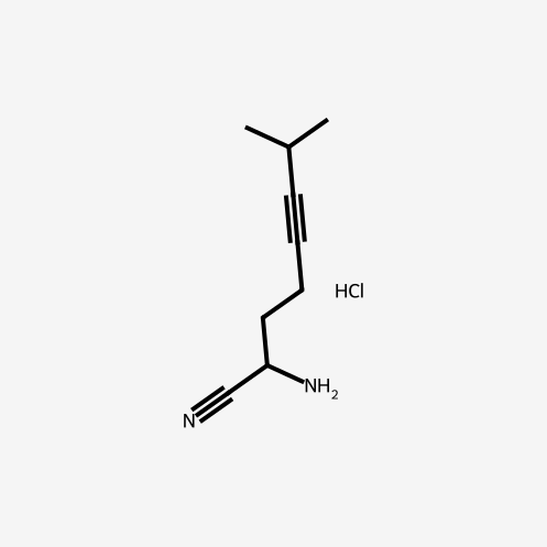 CC(C)C#CCCC(N)C#N.Cl